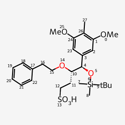 COc1cc([C@@H](O[Si](C)(C)C(C)(C)C)[C@H](CCS(=O)(=O)O)OCCc2ccccc2)cc(OC)c1C